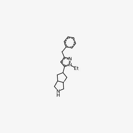 CCn1nc(Cc2ccccc2)cc1C1CC2CNCC2C1